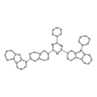 c1ccc(-c2nc(-c3ccc4cc(-c5cccc6c5sc5ccccc56)ccc4c3)nc(-c3ccc4c5ccccc5n(-c5ccccc5)c4c3)n2)cc1